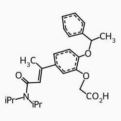 CC(=CC(=O)N(C(C)C)C(C)C)c1ccc(OC(C)c2ccccc2)c(OCC(=O)O)c1